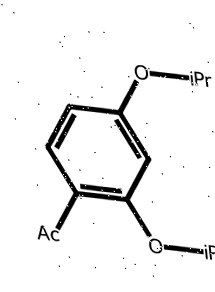 CC(=O)c1ccc(OC(C)C)cc1OC(C)C